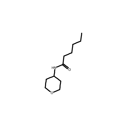 CCCCCC(=O)NC1CCOCC1